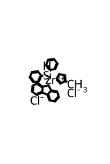 CC1=CC[C]([Zr+2]([CH]2c3ccccc3-c3ccccc32)[SiH](c2ccccc2)c2ccccc2)=C1.[Cl-].[Cl-]